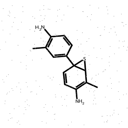 CC1=C(N)C=CC2(c3ccc(N)c(C)c3)SC12